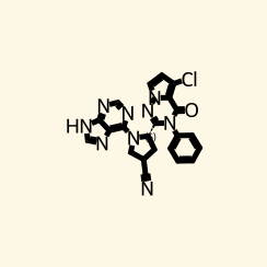 N#CC1C[C@@H](c2nn3ccc(Cl)c3c(=O)n2-c2ccccc2)N(c2ncnc3[nH]cnc23)C1